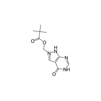 CC(C)(C)C(=O)OC[n+]1cc2c(=O)[nH]cnc2[nH]1